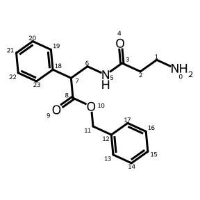 NCCC(=O)NCC(C(=O)OCc1ccccc1)c1ccccc1